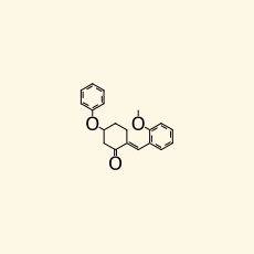 COc1ccccc1C=C1CCC(Oc2ccccc2)CC1=O